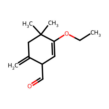 C=C1CC(C)(C)C(OCC)=CC1C=O